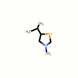 CC(C)C1CN(C)CP1